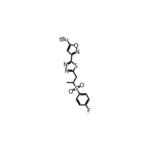 CC(Cc1nnc(-c2cc(C(C)(C)C)on2)s1)S(=O)(=O)c1ccc(F)cc1